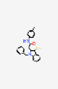 CSc1c(CC(=O)Nc2ccc(C)cc2)n(Cc2ccccc2)c2ccccc12